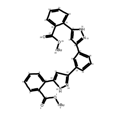 CCCCOC(=O)c1ccccc1-c1cc(-c2cccc(-c3cc(-c4ccccc4C(=O)OCCCC)[nH]n3)c2)n[nH]1